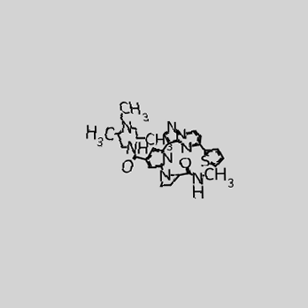 CCCN(CC)C(C)CNC(=O)c1cc(-c2cnn3ccc(-c4cccs4)nc23)nc(N2CCC2C(=O)NC)c1